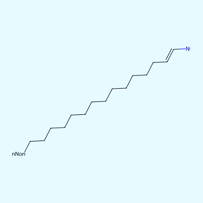 CCCCCCCCCCCCCCCCCCCCCCC=C[N]